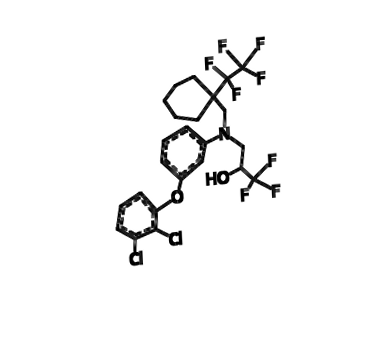 OC(CN(CC1(C(F)(F)C(F)(F)F)CCCCC1)c1cccc(Oc2cccc(Cl)c2Cl)c1)C(F)(F)F